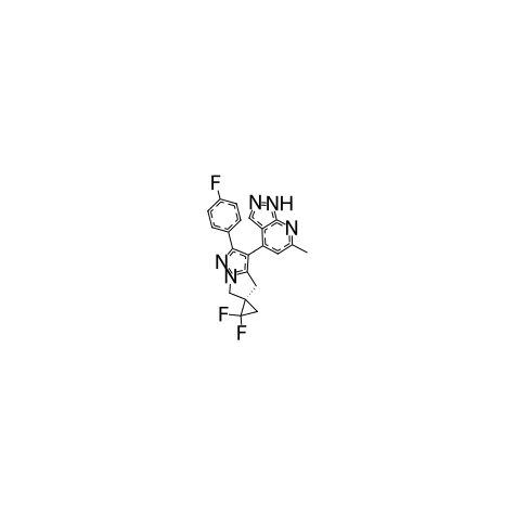 Cc1cc(-c2c(-c3ccc(F)cc3)nn3c2C[C@]2(C3)CC2(F)F)c2cn[nH]c2n1